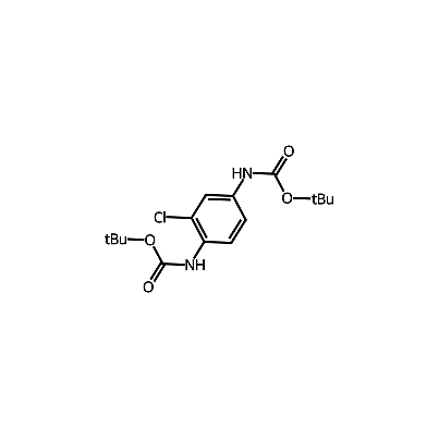 CC(C)(C)OC(=O)Nc1ccc(NC(=O)OC(C)(C)C)c(Cl)c1